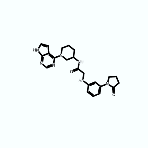 O=C(CNc1cccc(N2CCCC2=O)c1)NC1CCCN(c2ncnc3[nH]ccc23)C1